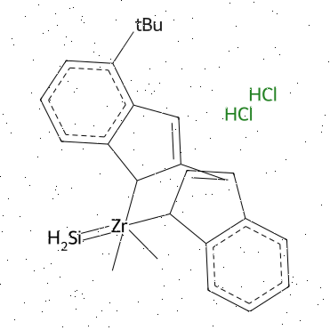 CC1=Cc2c(cccc2C(C)(C)C)[CH]1[Zr]([CH3])([CH3])(=[SiH2])[CH]1C=Cc2ccccc21.Cl.Cl